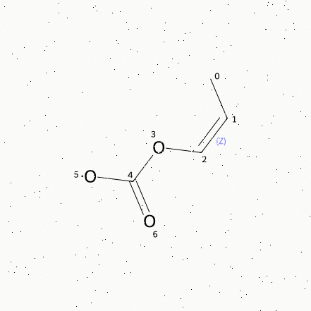 C/C=C\OC([O])=O